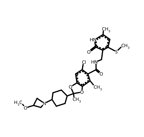 COC1CN(C2CCC(C3(C)Oc4cc(Cl)c(C(=O)NCc5c(SC)cc(C)[nH]c5=O)c(C)c4O3)CC2)C1